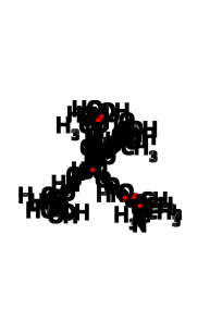 CC(=O)N[C@H]1[C@H](OCCOCCNCC(=O)CCOCC(COCCC(=O)NCCOCCO[C@@H]2O[C@H](CO)[C@H](O)[C@H](O)[C@H]2NC(C)=O)(COCCC(=O)NCCOCCO[C@@H]2O[C@H](CO)[C@H](O)[C@H](O)[C@H]2NC(C)=O)NC(=O)CCOCCOCCNC(=O)Cc2ccc(OP(OCCC#N)N(C(C)C)C(C)C)cc2)O[C@H](CO)[C@H](O)[C@@H]1O